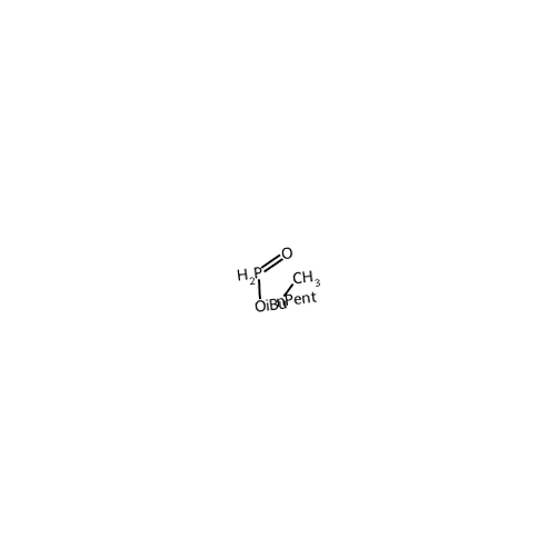 CC(C)CO[PH2]=O.CCCCCC